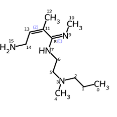 CCCN(C)CCNC(=N/C)/C(C)=C\CN